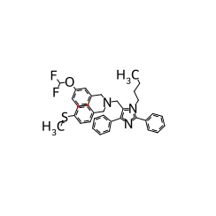 CCCCn1c(-c2ccccc2)nc(-c2ccccc2)c1CN(Cc1ccc(SC)cc1)Cc1cccc(OC(F)F)c1